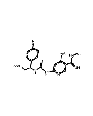 CCNC(=N)c1cnc(NC(=O)NC(COC)c2ccc(F)cc2)cc1N